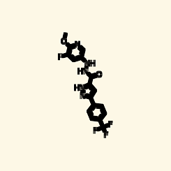 COc1ncc(NNC(=O)c2cc(-c3ccc(C(F)(F)F)cc3)n[nH]2)cc1F